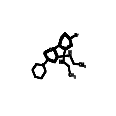 CCNC1(NCC)c2cc(Br)ccc2-c2ccc(N3CCCCC3)cc21